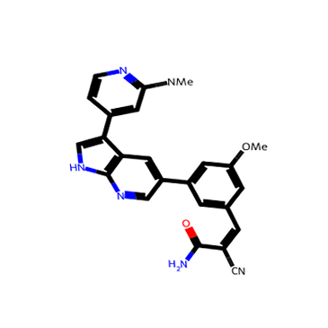 CNc1cc(-c2c[nH]c3ncc(-c4cc(C=C(C#N)C(N)=O)cc(OC)c4)cc23)ccn1